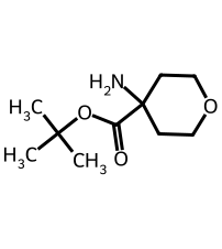 CC(C)(C)OC(=O)C1(N)CCOCC1